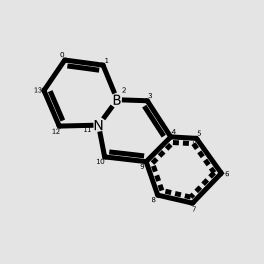 C1=CB2C=c3ccccc3=CN2C=C1